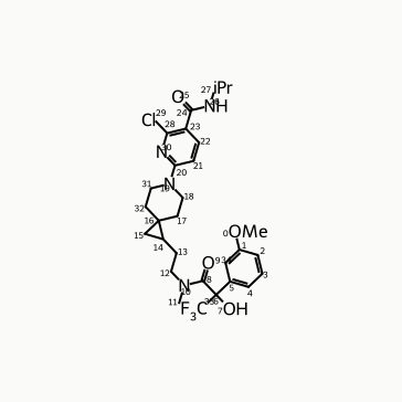 COc1cccc(C(O)(C(=O)N(C)CCC2CC23CCN(c2ccc(C(=O)NC(C)C)c(Cl)n2)CC3)C(F)(F)F)c1